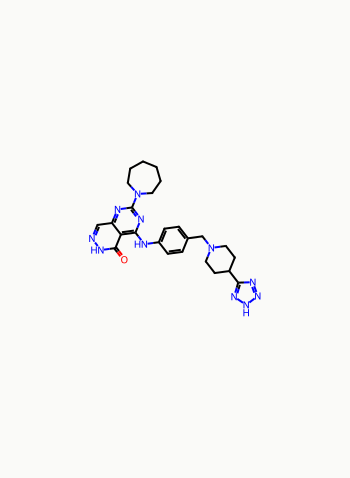 O=c1[nH]ncc2nc(N3CCCCCC3)nc(Nc3ccc(CN4CCC(c5nn[nH]n5)CC4)cc3)c12